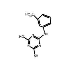 O=S(=O)(O)c1cccc(Nc2nc(O)nc(S)n2)c1